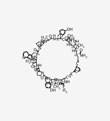 CC(=O)N[C@H]1CSCc2cccc(c2)CSC[C@H](C(N)=O)NC(=O)[C@H]([C@@H](C)O)NC(=O)[C@](C)(C(C)C)CC(=O)[C@H](Cc2ccc(O)cc2)NC(=O)[C@H](C)NC(=O)C2(CCCC2)NC(=O)[C@H](Cc2c[nH]c3ncccc23)NC(=O)[C@H]([C@@H](C)O)NC(=O)[C@@H]2CCCN2C(=O)[C@H](Cc2ccc(O)cc2)NC(=O)[C@H](C(C)(C)C)NC1=O